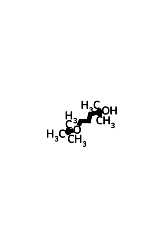 CC(C)(O)CCCOC(C)(C)C